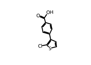 O=C(O)c1ccc(-c2ccsc2Cl)cc1